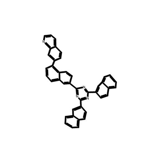 c1ccc2cc(-c3nc(-c4ccc5ccccc5c4)nc(-c4ccc5c(-c6ccc7cccnc7c6)cccc5c4)n3)ccc2c1